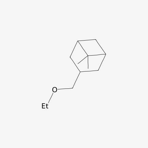 CCOCC1CC2CC(C1)C2(C)C